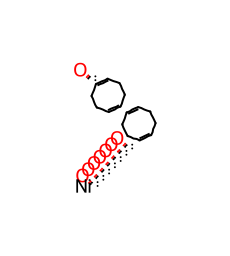 C1=C\CC/C=C\CC/1.C1=C\CC/C=C\CC/1.[C]=O.[C]=O.[C]=O.[C]=O.[C]=O.[C]=O.[C]=O.[C]=O.[Ni]